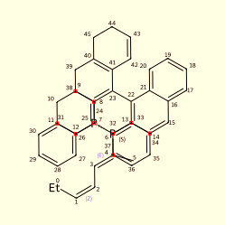 CC/C=C\C=C(/C)[P@](C1=CCCCC1)c1ccc2ccccc2c1C1=C(P(c2ccccc2)c2ccccc2)CCC2=C1C=CCC2